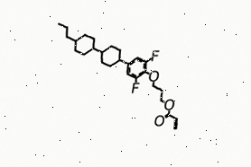 C=CC(=O)OCCCOc1c(F)cc(C2CCC(C3CCC(CCC)CC3)CC2)cc1F